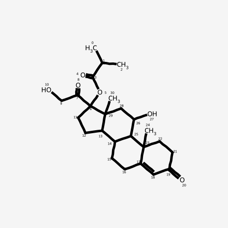 CC(C)C(=O)OC1(C(=O)CO)CCC2C3CCC4=CC(=O)CCC4(C)C3C(O)CC21C